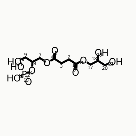 O=C(CCC(=O)OCC(CO)OP(=O)(O)O)OCC(O)CO